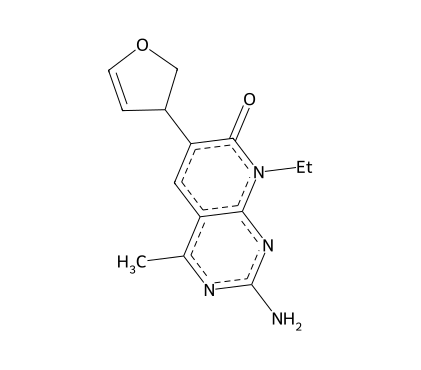 CCn1c(=O)c(C2C=COC2)cc2c(C)nc(N)nc21